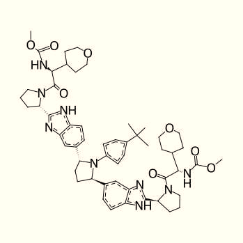 COC(=O)N[C@H](C(=O)N1CCC[C@H]1c1nc2cc([C@H]3CC[C@H](c4ccc5[nH]c([C@@H]6CCCN6C(=O)[C@@H](NC(=O)OC)C6CCOCC6)nc5c4)N3c3ccc(C(C)(C)C)cc3)ccc2[nH]1)C1CCOCC1